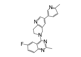 Cc1ccc(-c2cnc3c(c2)CN(c2nc(C)nc4ccc(F)cc24)CC3)cn1